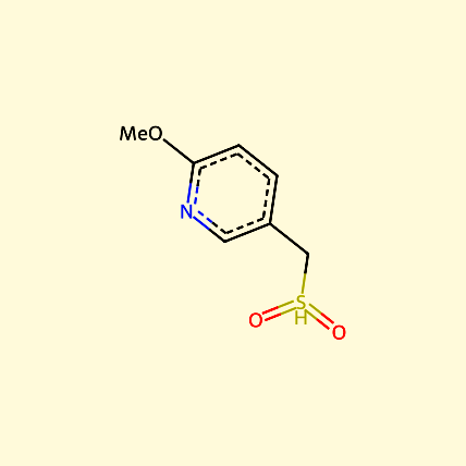 COc1ccc(C[SH](=O)=O)cn1